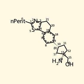 CCCCCc1nc2c(s1)-c1ccc([C@@H]3CC[C@@](N)(CO)C3)cc1CC2